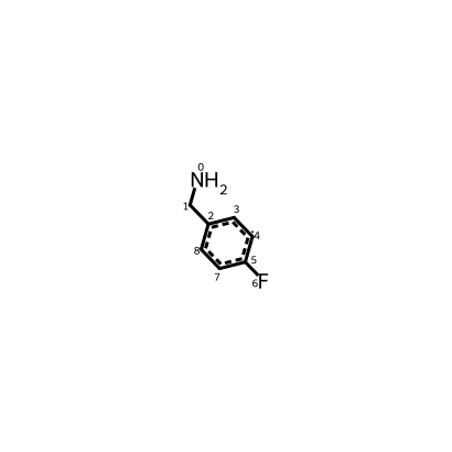 NCc1c[c]c(F)cc1